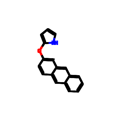 [c]1c(Oc2ccc[nH]2)ccc2cc3ccccc3cc12